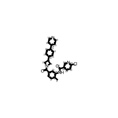 Cc1ccc(C(=O)N2CC(c3ccc(-c4ccncc4)cc3)C2)cc1NC(=O)c1ccc(Cl)nc1